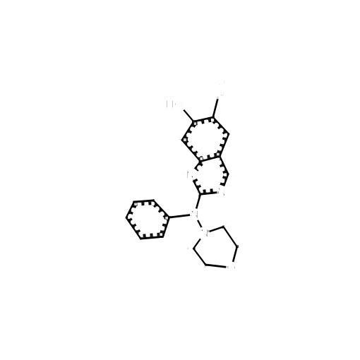 Oc1cc2nc(N(c3ccccc3)N3CCOCC3)ncc2cc1Br